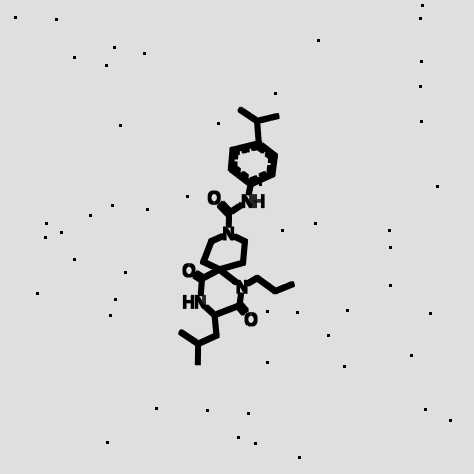 CCCN1C(=O)C(CC(C)C)NC(=O)C12CCN(C(=O)Nc1ccc(C(C)C)cc1)CC2